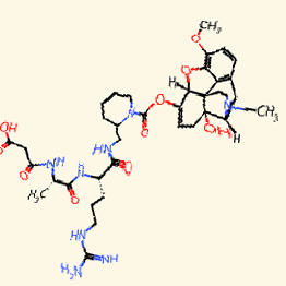 COc1ccc2c3c1O[C@H]1C(OC(=O)N4CCCCC4CNC(=O)[C@H](CCCNC(=N)N)NC(=O)[C@H](C)NC(=O)CC(=O)O)=CC[C@@]4(O)[C@@H](C2)N(C)CC[C@]314